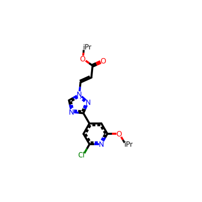 CC(C)OC(=O)C=Cn1cnc(-c2cc(Cl)nc(OC(C)C)c2)n1